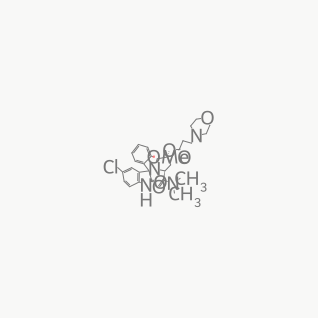 COc1ccccc1C1(N2C[C@H](OC(=O)CCN3CCOCC3)C[C@H]2C(=O)N(C)C)C(=O)Nc2ccc(Cl)cc21